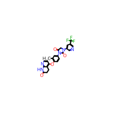 Cc1cc(N2C(=O)CN(c3cncc(C(F)(F)F)c3)C2=O)ccc1Oc1ccnc2c1CCC(=O)N2